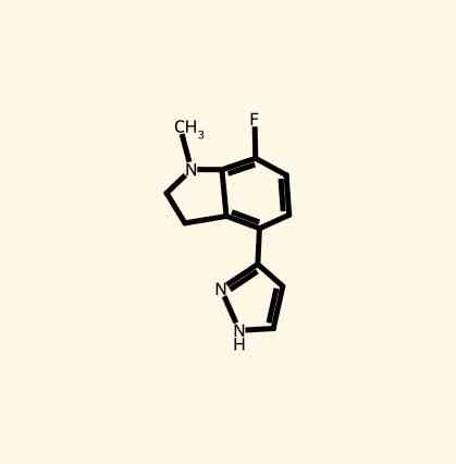 CN1CCc2c(-c3cc[nH]n3)ccc(F)c21